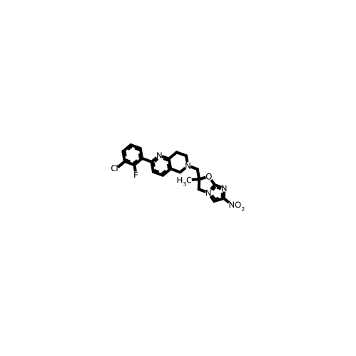 CC1(CN2CCc3nc(-c4cccc(Cl)c4F)ccc3C2)Cn2cc([N+](=O)[O-])nc2O1